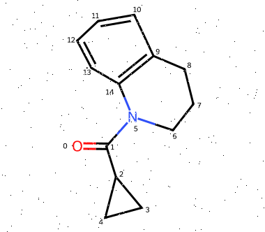 O=C(C1CC1)N1CCCc2ccc[c]c21